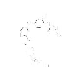 CC(C)(C)OC(=O)N1CCC(C(=O)Nc2cc(Oc3ccc(NC(=O)NC4CC4)c(Cl)c3)ccn2)CC1